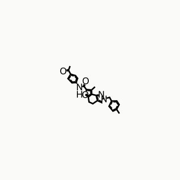 CC(=O)c1ccc(NC(=O)c2oc3c(c2C)-c2nn(Cc4ccc(C)cc4)cc2CC3)cc1